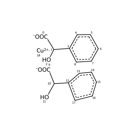 O=C([O-])C(O)c1ccccc1.O=C([O-])C(O)c1ccccc1.[Cu+2]